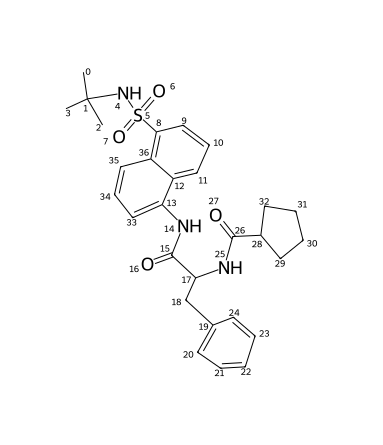 CC(C)(C)NS(=O)(=O)c1cccc2c(NC(=O)C(Cc3ccccc3)NC(=O)C3CCCC3)cccc12